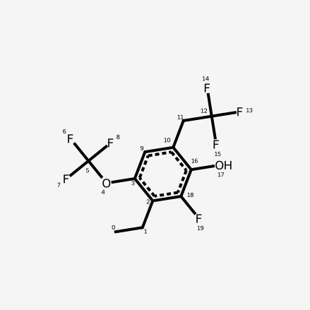 CCc1c(OC(F)(F)F)cc(CC(F)(F)F)c(O)c1F